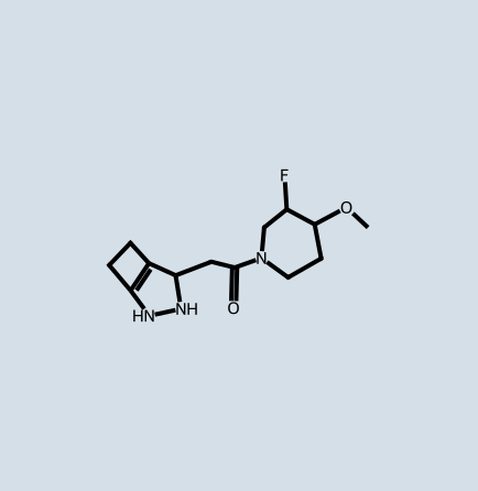 COC1CCN(C(=O)CC2NNC3=C2CC3)CC1F